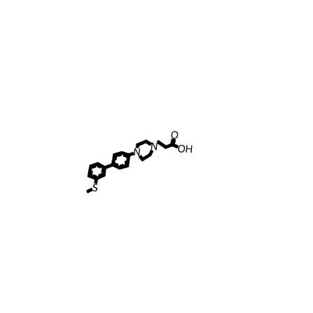 CSc1cccc(-c2ccc(N3CCN(CCC(=O)O)CC3)cc2)c1